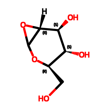 OC[C@H]1OC2O[C@@H]2[C@@H](O)[C@@H]1O